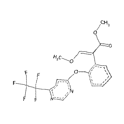 CO/C=C(/C(=O)OC)c1ccccc1Oc1cc(C(F)(F)C(F)(F)F)ncn1